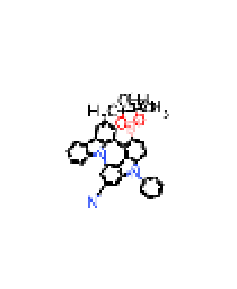 CC1(C)OB(c2ccc3c4c2c2cccc5c6ccccc6n(c6cc(C#N)cc(c46)n3-c3ccccc3)c52)OC1(C)C